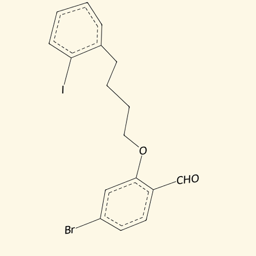 O=Cc1ccc(Br)cc1OCCCCc1ccccc1I